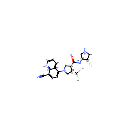 N#Cc1ccc(N2C[C@@H](C(=O)N[C@H]3CNC[C@H]3F)[C@H](C(F)F)C2)c2cccnc12